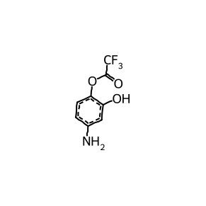 Nc1ccc(OC(=O)C(F)(F)F)c(O)c1